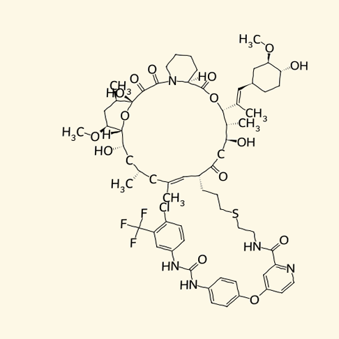 CO[C@H]1C[C@@H](C)[C@@]2(O)O[C@@H]1[C@@H](O)C[C@@H](C)C/C(C)=C/[C@@H](CCCSCCNC(=O)c1cc(Oc3ccc(NC(=O)Nc4ccc(Cl)c(C(F)(F)F)c4)cc3)ccn1)C(=O)C[C@H](O)[C@@H](C)[C@@H](/C(C)=C/[C@@H]1CC[C@@H](O)[C@H](OC)C1)OC(=O)[C@@H]1CCCCN1C(=O)C2=O